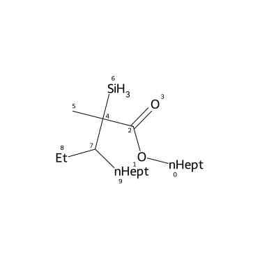 CCCCCCCOC(=O)C(C)([SiH3])C(CC)CCCCCCC